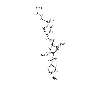 COc1cc(NNc2ccc([N+](=O)[O-])cc2)c(OC)cc1/N=N/c1ccc(N(C)CCCC(=O)O)cc1